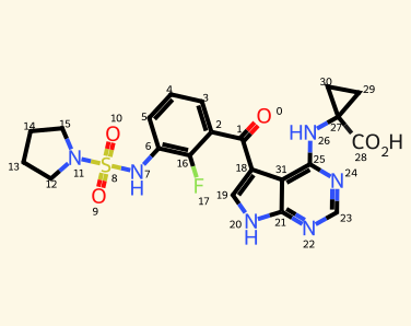 O=C(c1cccc(NS(=O)(=O)N2CCCC2)c1F)c1c[nH]c2ncnc(NC3(C(=O)O)CC3)c12